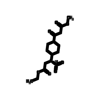 CCOC(=O)CN(C1CCC(C(=O)CC(=O)OC)CC1)[SH](=O)=O